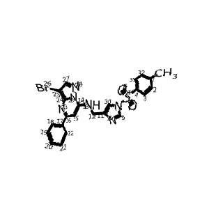 Cc1ccc(S(=O)(=O)n2cnc(CNc3cc(-c4ccccc4)nc4c(Br)cnn34)c2)cc1